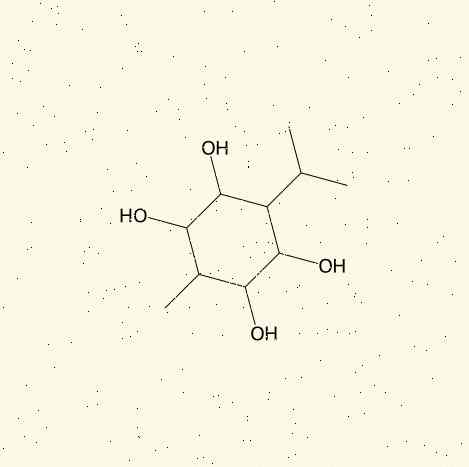 CC(C)C1C(O)C(O)C(C)C(O)C1O